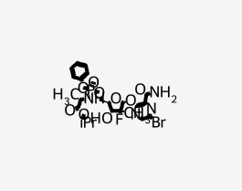 CC(C)OC(=O)C(C)N[P@@](=O)(OC[C@H]1O[C@@H](Oc2ncc(Br)nc2C(N)=O)[C@](C)(F)[C@@H]1O)Oc1ccccc1